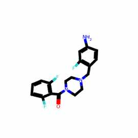 Nc1ccc(CN2CCN(C(=O)c3c(F)cccc3F)CC2)c(F)c1